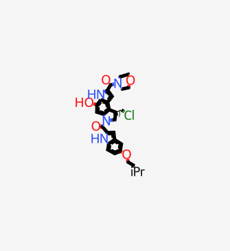 CC(C)CCOc1ccc2[nH]c(C(=O)N3C[C@@H](CCl)c4c3cc(O)c3[nH]c(C(=O)N5CCOCC5)cc43)cc2c1